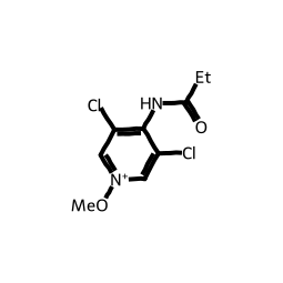 CCC(=O)Nc1c(Cl)c[n+](OC)cc1Cl